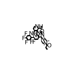 C=CC(=O)N1CCN(c2nc(=O)n(C3=C(C)C=CNC3C(C)C)c3nc(-c4c(N)c(F)c(F)c(F)c4F)c(F)cc23)C[C@H]1C